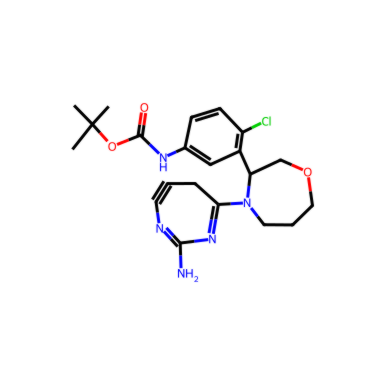 CC(C)(C)OC(=O)Nc1ccc(Cl)c(C2COCCCN2C2=NC(N)=NC#CC2)c1